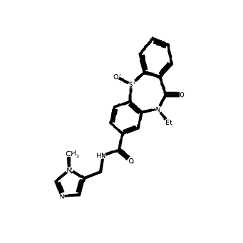 CCN1C(=O)c2ccccc2[S+]([O-])c2ccc(C(=O)NCc3cncn3C)cc21